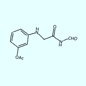 CC(=O)Oc1cccc(NCC(=O)NC=O)c1